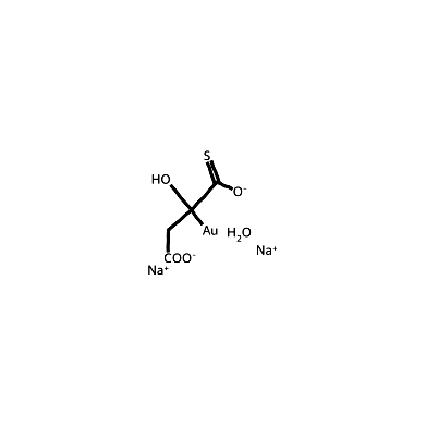 O.O=C([O-])C[C](O)([Au])C([O-])=S.[Na+].[Na+]